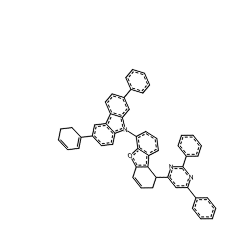 C1=CCCC(c2ccc3c(c2)c2ccc(-c4ccccc4)cc2n3-c2cccc3c4c(oc23)C=CCC4c2cc(-c3ccccc3)nc(-c3ccccc3)n2)=C1